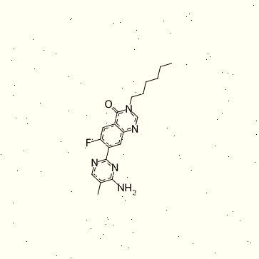 CCCCCCn1cnc2cc(-c3ncc(C)c(N)n3)c(F)cc2c1=O